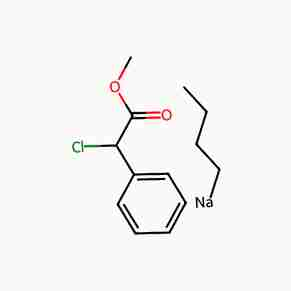 CCC[CH2][Na].COC(=O)C(Cl)c1ccccc1